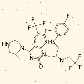 CC1CNCCN1c1nc(=O)n2c3c(cc(C(F)(F)F)cc13)[SH](c1ccc(F)cc1F)CC(N(C)CC(F)(F)F)C2